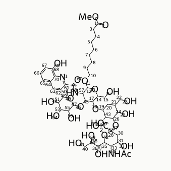 COC(=O)CCCCCCCCOC1OC(CO)C(OC2CC(CO)C(O)C(O[C@]3(C(=O)O)CC(O)C(NC(C)=O)C([C@H](O)[C@H](O)CO)O3)C2O)C(OC2OC(C)C(O)C(O)C2O)C1NC(=O)c1ccc2cccc(O)c2n1